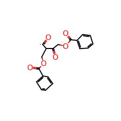 O=[C]C(COC(=O)c1ccccc1)C(=O)COC(=O)c1ccccc1